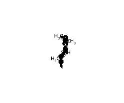 COc1cccc(OC)c1CN1CCCN(c2ccc(NC(=O)Oc3ccc(C)c(-c4ccc(C#N)cc4)c3)cn2)CC1